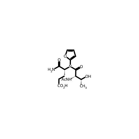 CC(=O)N[C@H](C(=O)N(c1ccco1)[C@H](CCC(=O)O)C(N)=O)[C@@H](C)O